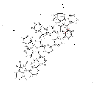 Cc1ccc(-c2cccc(C)c2N(c2ccc3c(c2)C(C)(C)C2=C3C(C)CC=C2)c2ccc3c(c2)C2(CC[C@@H](C4CCCC(c5ccc(-c6ccccc6)c(N(c6ccc7c(c6)C(C)(C)c6ccccc6-7)c6ccc7c(c6)C6(c8ccccc8-7)C7CC8CC(C7)CC6C8)c5)C4)C2)c2ccccc2-3)cc1